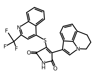 O=C1NC(=O)C(c2cn3c4c(cccc24)CCC3)=C1Sc1cc(C(F)(F)F)nc2ccccc12